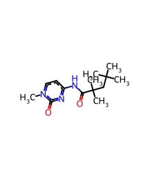 Cn1ccc(NC(=O)C(C)(C)CC(C)(C)C)nc1=O